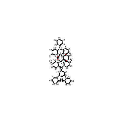 Cc1ccc2c(c1)C1(c3cc(C)ccc3N2c2ccccc2)c2ccccc2C2(c3cc(C)ccc3N(c3cc4c5ccccc5n5c6ccccc6c(c3)c45)c3ccc(C)cc32)c2ccccc21